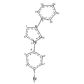 Brc1ccc(-n2ccc(-c3ccccc3)c2)cc1